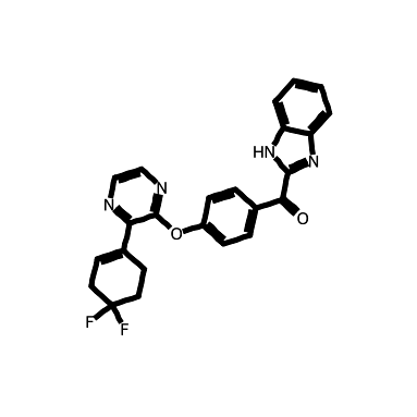 O=C(c1ccc(Oc2nccnc2C2=CCC(F)(F)CC2)cc1)c1nc2ccccc2[nH]1